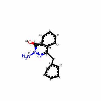 Nn1nc(Cc2ccccc2)c2ccccc2c1=O